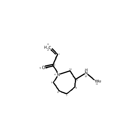 C=CC(=O)N1CCCCC(NC(C)(C)C)C1